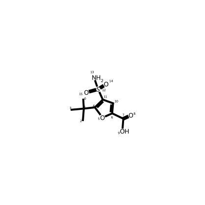 CC(C)(C)c1oc(C(=O)O)cc1S(N)(=O)=O